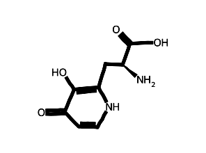 N[C@@H](Cc1[nH]ccc(=O)c1O)C(=O)O